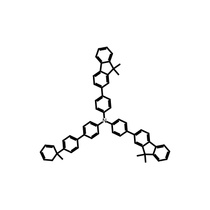 CC1(c2ccc(-c3ccc(N(c4ccc(-c5ccc6c(c5)C(C)(C)c5ccccc5-6)cc4)c4ccc(-c5ccc6c(c5)C(C)(C)c5ccccc5-6)cc4)cc3)cc2)C=CC=CC1